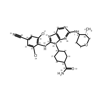 C[C@@H]1COCCC1Nc1ncc2nc(Nc3c(Cl)cc(C#N)cc3Cl)n(C3CCC(C(N)=O)CC3)c2n1